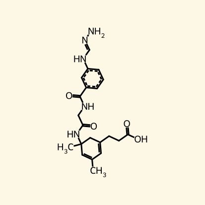 CC1=CC(C)(NC(=O)CNC(=O)c2cccc(NC=NN)c2)CC(CCC(=O)O)=C1